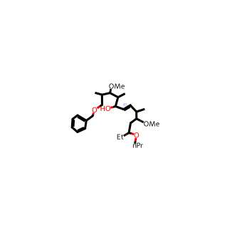 CCCOC(CC)CC(OC)C(C)/C=C/C(O)C(C)C(OC)C(C)COCc1ccccc1